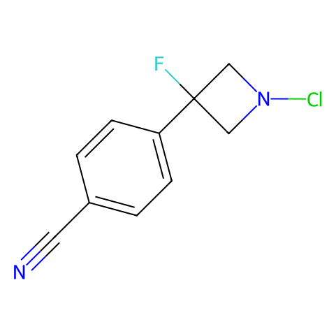 N#Cc1ccc(C2(F)CN(Cl)C2)cc1